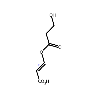 O=C(O)/C=C/OC(=O)CCO